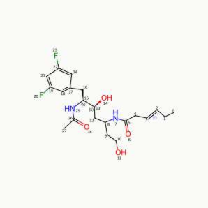 CC/C=C/CC(=O)NC(CCO)C[C@H](O)[C@H](Cc1cc(F)cc(F)c1)NC(C)=O